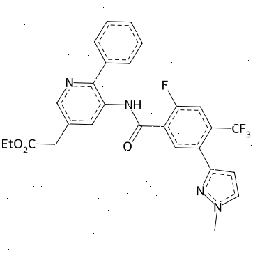 CCOC(=O)Cc1cnc(-c2ccccc2)c(NC(=O)c2cc(-c3ccn(C)n3)c(C(F)(F)F)cc2F)c1